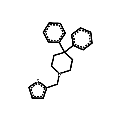 c1ccc(C2(c3ccccc3)CCN(Cc3cccs3)CC2)cc1